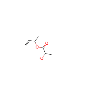 C=CC(C)OC(=O)C(C)[O]